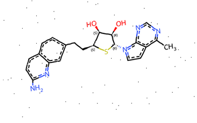 Cc1ncnc2c1ccn2[C@@H]1S[C@@H](CCc2ccc3ccc(N)nc3c2)[C@@H](O)[C@H]1O